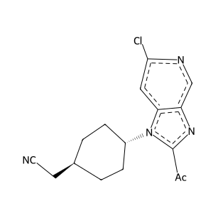 CC(=O)c1nc2cnc(Cl)cc2n1[C@H]1CC[C@H](CC#N)CC1